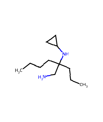 CCCCC(CN)(CCC)NC1CC1